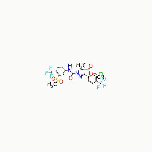 CCOC(=O)C1(C)CN(C(=O)Nc2ccc(C(F)(F)F)c(S(C)(=O)=O)c2)N=C1c1ccc(C(F)(F)F)c(Cl)c1